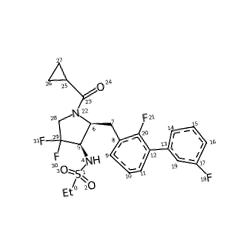 CCS(=O)(=O)N[C@@H]1[C@H](Cc2cccc(-c3cccc(F)c3)c2F)N(C(=O)C2CC2)CC1(F)F